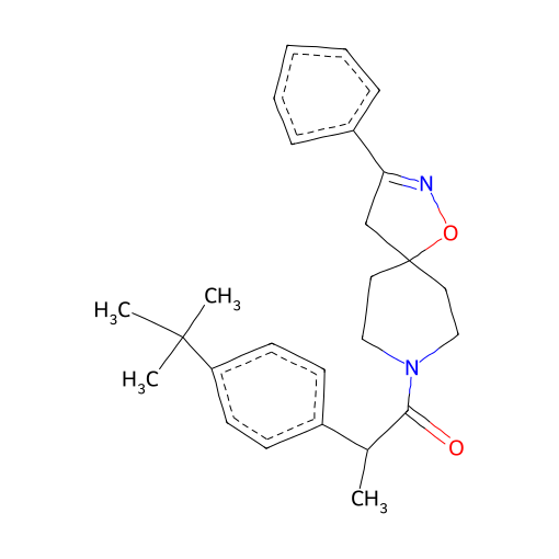 CC(C(=O)N1CCC2(CC1)CC(c1ccccc1)=NO2)c1ccc(C(C)(C)C)cc1